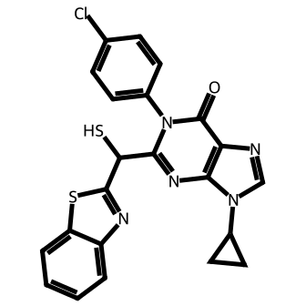 O=c1c2ncn(C3CC3)c2nc(C(S)c2nc3ccccc3s2)n1-c1ccc(Cl)cc1